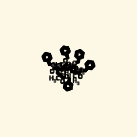 CC(C)(CC(C)(CC(C)(CC(C)(CC(C)(C)C(=O)OCc1ccccc1)C(=O)OCc1ccccc1)C(=O)OCc1ccccc1)C(=O)OCc1ccccc1)C(=O)OCc1ccccc1